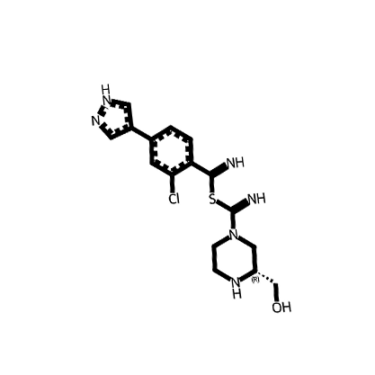 N=C(SC(=N)N1CCN[C@@H](CO)C1)c1ccc(-c2cn[nH]c2)cc1Cl